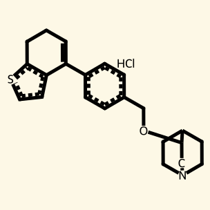 C1=C(c2ccc(COC3CN4CCC3CC4)cc2)c2ccsc2CC1.Cl